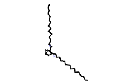 CCCCCCCCCCCCC/C=C/C1=C(/C=C/CCCCCCCCCCCCC)[N]C=C1